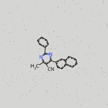 Cc1nc(-c2ccccc2)nc(-c2ccc3ccccc3c2)c1C#N